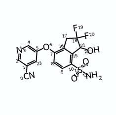 N#Cc1cncc(Oc2ccc(S(N)(=O)=O)c3c2CC(F)(F)C3O)c1